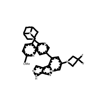 COc1ccc(CN2C3CC2CN(c2ccc(-c4cc(N5CC(F)(F)C5)cn5nc6[nH]ncc6c45)cn2)C3)cn1